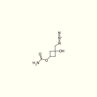 [N-]=[N+]=NCC1(O)CC(OC(N)=O)C1